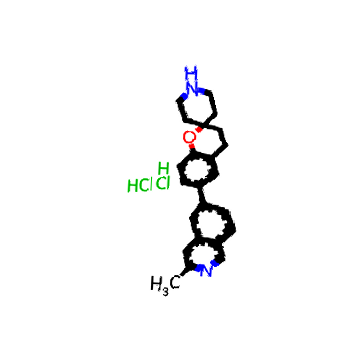 Cc1cc2cc(-c3ccc4c(c3)CCC3(CCNCC3)O4)ccc2cn1.Cl.Cl